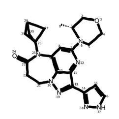 C[C@@H]1COCCN1c1cc2c3c(n1)c(-c1cc[nH]n1)nn3CCC(=O)N2C12CC(C1)C2